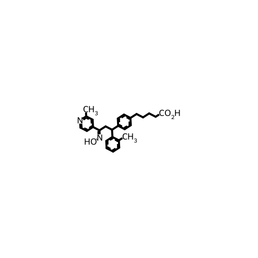 Cc1cc(/C(CC(c2ccc(CCCCC(=O)O)cc2)c2ccccc2C)=N\O)ccn1